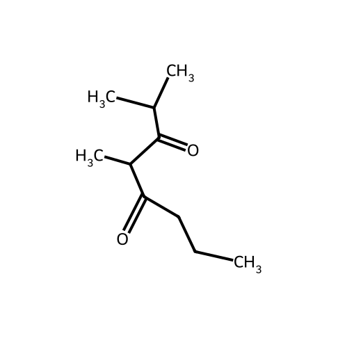 CCCC(=O)C(C)C(=O)C(C)C